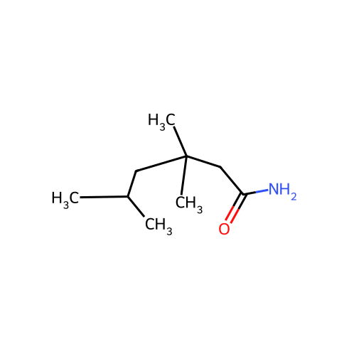 CC(C)CC(C)(C)CC(N)=O